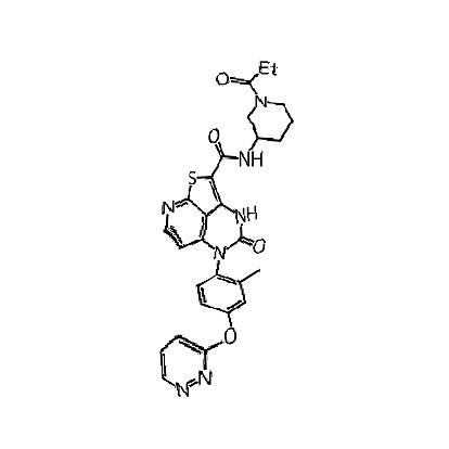 CCC(=O)N1CCCC(NC(=O)c2sc3nccc4c3c2NC(=O)N4c2ccc(Oc3cccnn3)cc2C)C1